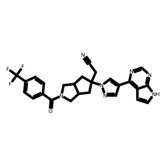 N#CCC1(n2cc(-c3ncnc4[nH]ccc34)cn2)CC2CN(C(=O)c3ccc(C(F)(F)F)cc3)CC2C1